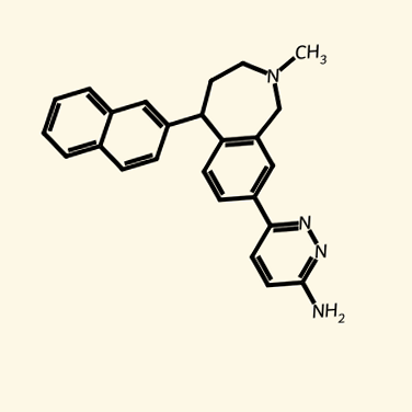 CN1CCC(c2ccc3ccccc3c2)c2ccc(-c3ccc(N)nn3)cc2C1